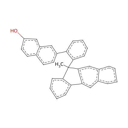 CC1(c2ccccc2-c2ccc3ccc(O)cc3c2)c2ccccc2-c2cc3ccccc3cc21